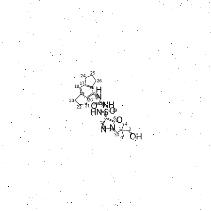 CC1(CO)COc2c(S(=N)(=O)NC(=O)Nc3c4c(cc5c3CCC5)CCC4)cnn2C1